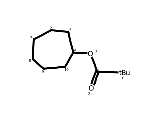 CC(C)(C)C(=O)OC1CCCCCC1